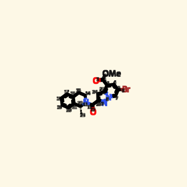 COC(=O)c1cc(Br)cn2nc(C(=O)N3CCc4ccccc4[C@H]3C)cc12